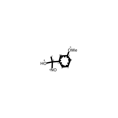 COc1cccc(C(C)(O)N=O)c1